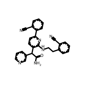 N#Cc1ccccc1CCNc1nc(-c2ccccc2C#N)ccc1C(C(N)=O)c1cccnc1